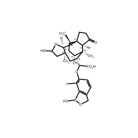 C[C@@H]1CC[C@@]23CCC(=O)[C@H]2[C@@]1(C)[C@H](C(Oc1ccc2c(c1F)B(O)OC2)C(=O)O)C[C@@]1(C)CC(O)O[C@H]1[C@@H]3C